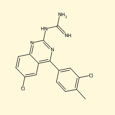 Cc1ccc(-c2nc(NC(=N)N)nc3ccc(Cl)cc23)cc1Cl